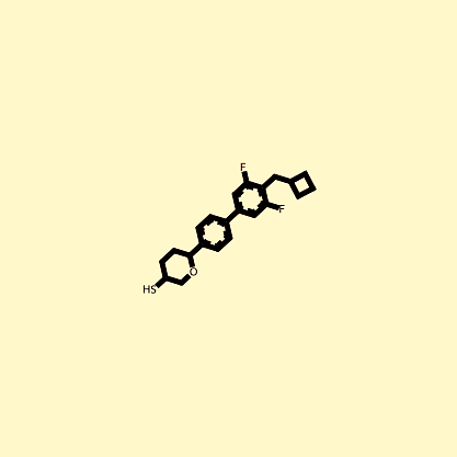 Fc1cc(-c2ccc(C3CCC(S)CO3)cc2)cc(F)c1CC1CCC1